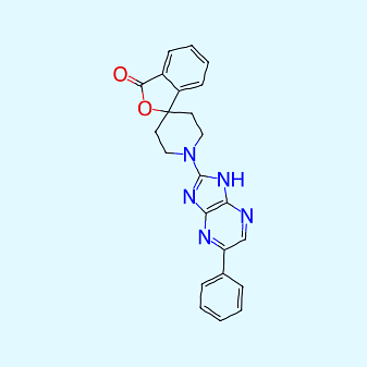 O=C1OC2(CCN(c3nc4nc(-c5ccccc5)cnc4[nH]3)CC2)c2ccccc21